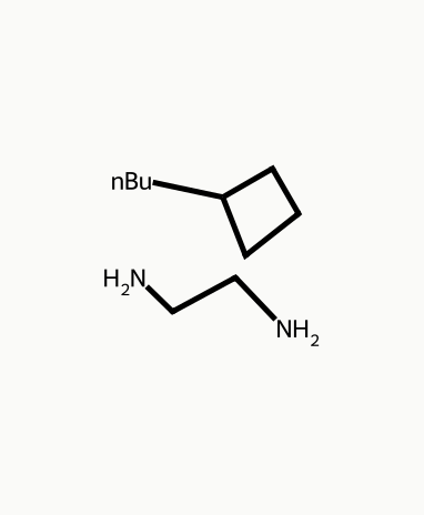 CCCCC1CCC1.NCCN